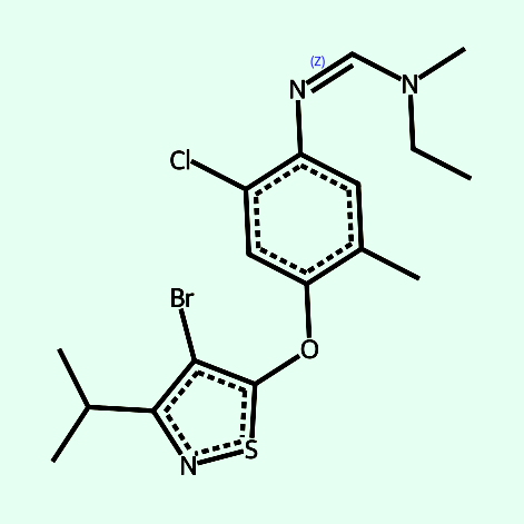 CCN(C)/C=N\c1cc(C)c(Oc2snc(C(C)C)c2Br)cc1Cl